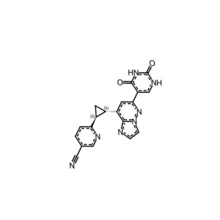 N#Cc1ccc([C@H]2C[C@@H]2c2cc(-c3c[nH]c(=O)[nH]c3=O)nn3ccnc23)nc1